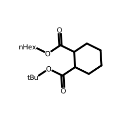 CCCCCCOC(=O)C1CCCCC1C(=O)OC(C)(C)C